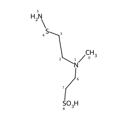 CN(CCSN)CCS(=O)(=O)O